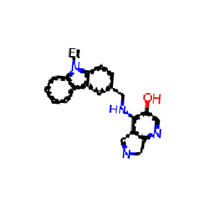 CCn1c2ccccc2c2cc(CNc3c(O)cnc4c3C=NC4)ccc21